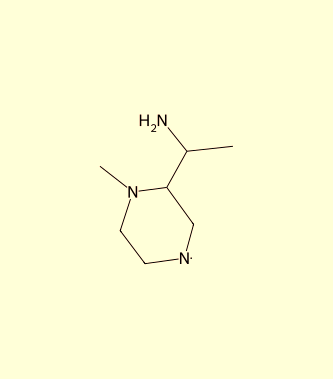 CC(N)C1C[N]CCN1C